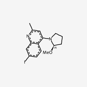 CO[C@@H]1CCCN1c1cc(C)nc2cc(I)ccc12